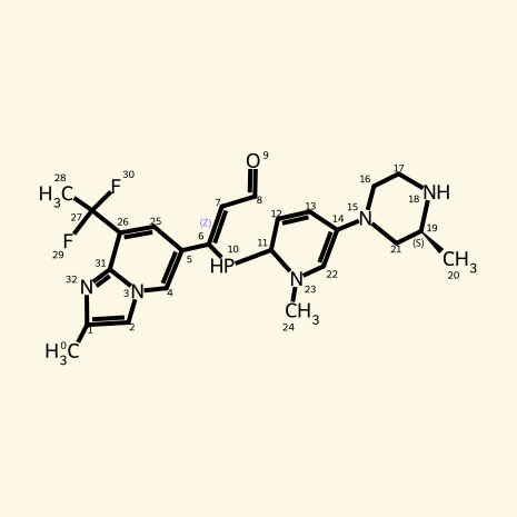 Cc1cn2cc(/C(=C/C=O)PC3C=CC(N4CCN[C@@H](C)C4)=CN3C)cc(C(C)(F)F)c2n1